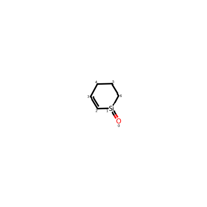 O=[Si]1C=CCCC1